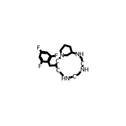 Fc1cc(F)c(CC2CCNCCNCCNC3CCCN(C2)C3)c(F)c1